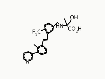 Cc1c(/C=C/c2cc(CN[C@@](C)(CO)C(=O)O)ccc2C(F)(F)F)cccc1-c1cccnc1